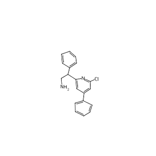 NCC(c1ccccc1)c1cc(-c2ccccc2)cc(Cl)n1